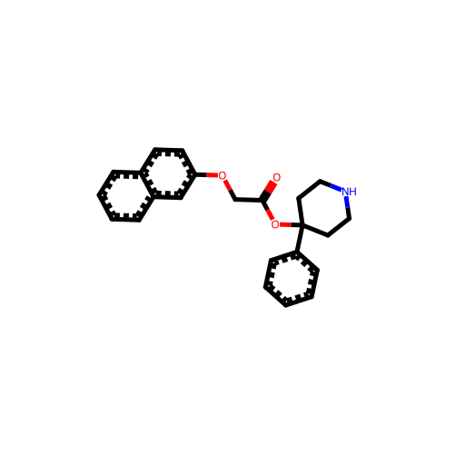 O=C(COc1ccc2ccccc2c1)OC1(c2ccccc2)CCNCC1